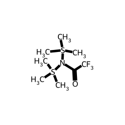 CS(C)(C)N(C(=O)C(F)(F)F)S(C)(C)C